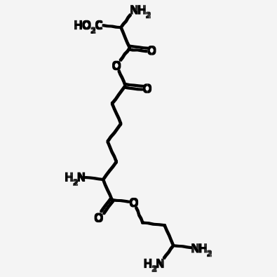 NC(N)CCOC(=O)C(N)CCCCC(=O)OC(=O)C(N)C(=O)O